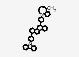 C=C1/C=C\C=C/CN(C2=CC=C(c3cc4c5cccc(C6=CC=C(n7c8ccccc8c8ccccc87)CC6)c5ccc4c4ccccc34)CC2)c2ccccc21